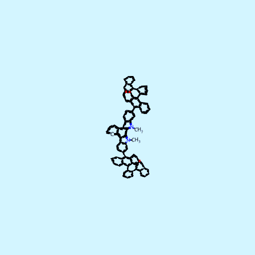 Cn1c2cc(-c3c4ccccc4c(-c4ccccc4-c4cccc5ccccc45)c4ccccc34)ccc2c2c3ccccc3c3c4ccc(-c5c6ccccc6c(-c6ccccc6-c6cccc7ccccc67)c6ccccc56)cc4n(C)c3c21